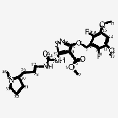 COC(=O)c1c(OCc2c(F)c(OC)cc(OC)c2F)nsc1NC(=O)NCCCC1CCCN1C